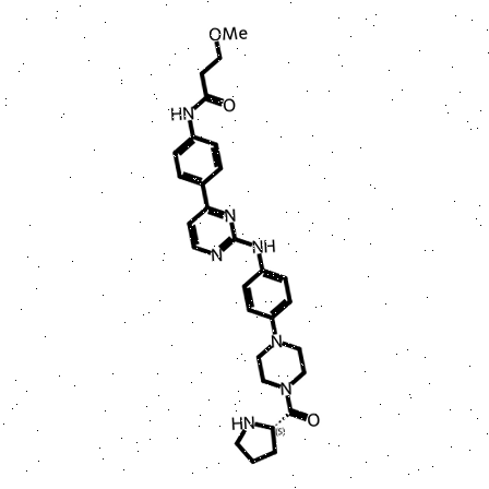 COCCC(=O)Nc1ccc(-c2ccnc(Nc3ccc(N4CCN(C(=O)[C@@H]5CCCN5)CC4)cc3)n2)cc1